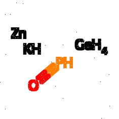 O=P.[GeH4].[KH].[Zn]